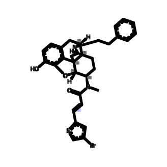 CN(C(=O)/C=C/c1cc(Br)cs1)[C@@H]1CC[C@H]2[C@H]3Cc4ccc(O)c5c4[C@@]2(CCN3CCc2ccccc2)[C@H]1O5